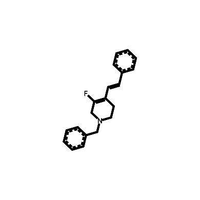 FC1=C(/C=C/c2ccccc2)CCN(Cc2ccccc2)C1